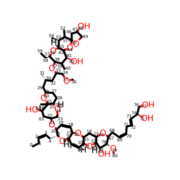 CC/C=C\C[C@H]1O[C@H]2C=C[C@H]3O[C@@H]4C(CC3OC2C=CC1OC1CO[C@@H]2CCC(C[C@H](C)CC(COC)OC3C(C)[C@H](O)C5OC6(CC(O)CO6)C(C)[C@H](C)[C@H]5O[C@H]3CC)OC2(C)C(O)C1)OC(C/C=C\C/C=C/[C@H](O)CO)[C@H](OC)[C@H]4O